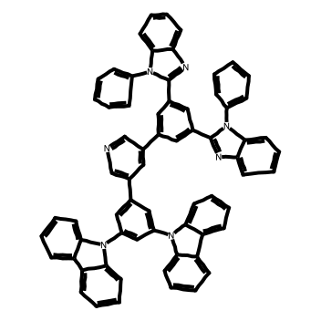 c1ccc(-n2c(-c3cc(-c4cncc(-c5cc(-n6c7ccccc7c7ccccc76)cc(-n6c7ccccc7c7ccccc76)c5)c4)cc(-c4nc5ccccc5n4-c4ccccc4)c3)nc3ccccc32)cc1